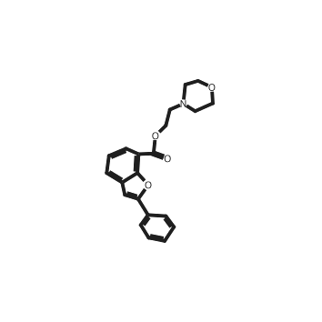 O=C(OCCN1CCOCC1)c1cccc2cc(-c3ccccc3)oc12